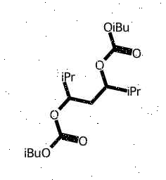 CC(C)COC(=O)OC(CC(OC(=O)OCC(C)C)C(C)C)C(C)C